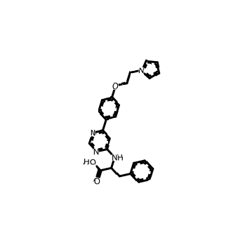 O=C(O)C(Cc1ccccc1)Nc1cc(-c2ccc(OCCn3cccc3)cc2)ncn1